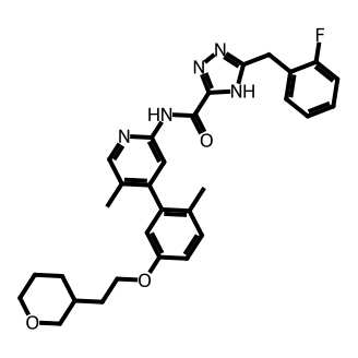 Cc1ccc(OCCC2CCCOC2)cc1-c1cc(NC(=O)c2nnc(Cc3ccccc3F)[nH]2)ncc1C